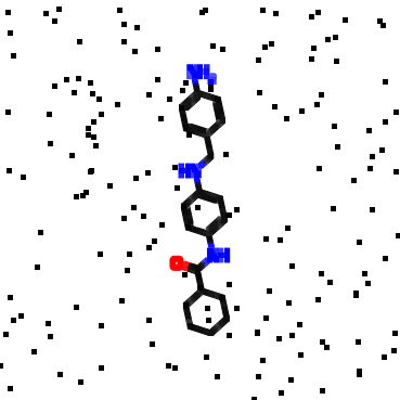 Nc1ccc(CNc2ccc(NC(=O)C3CCCCC3)cc2)cc1